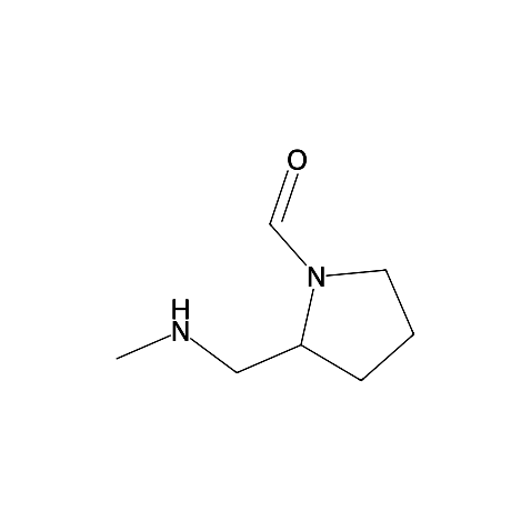 CNCC1CCCN1C=O